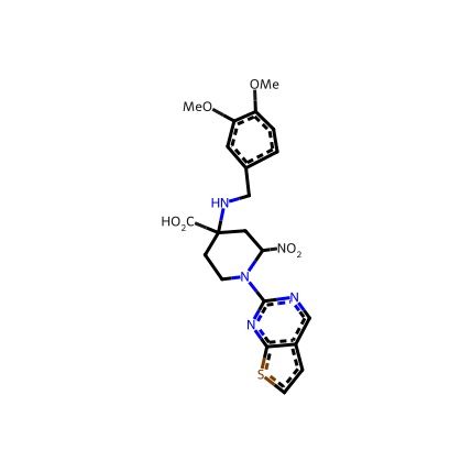 COc1ccc(CNC2(C(=O)O)CCN(c3ncc4ccsc4n3)C([N+](=O)[O-])C2)cc1OC